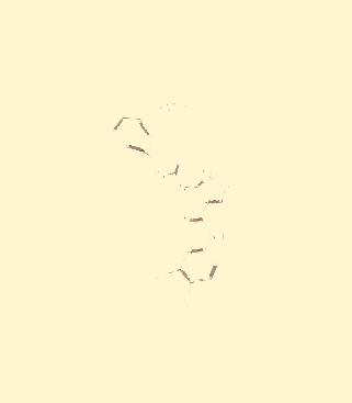 COc1cccc(NC(=O)Nc2nocc2/C(=N/O)Nc2ccc(F)c(Br)c2)c1